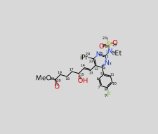 CCN(c1nc(-c2ccc(F)cc2)c(/C=C/[C@@H](O)CCCC(=O)OC)c(C(C)C)n1)S(C)(=O)=O